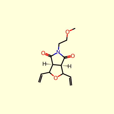 C=CC1OC(C=C)[C@@H]2C(=O)N(CCOC)C(=O)[C@H]12